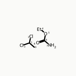 CC(Cl)Cl.CCOC(N)=O